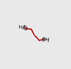 O=C(O)CCCCCCC/C=C\CCCCCCCCCCCCCCCCCCCC/C=C\CCCCCCCC(=O)O